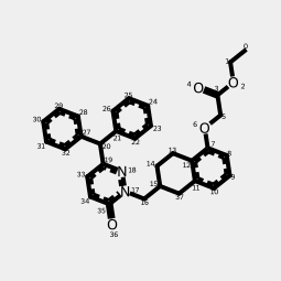 CCOC(=O)COc1cccc2c1CCC(Cn1nc(C(c3ccccc3)c3ccccc3)ccc1=O)C2